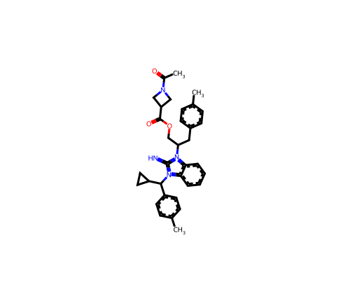 CC(=O)N1CC(C(=O)OCC(Cc2ccc(C)cc2)n2c(=N)n(C(c3ccc(C)cc3)C3CC3)c3ccccc32)C1